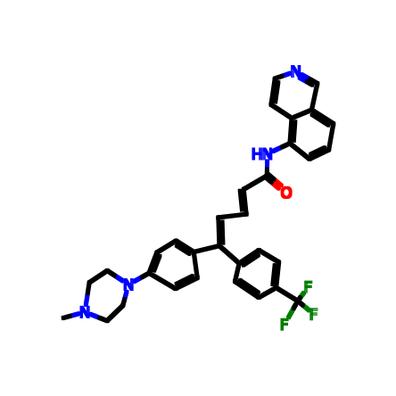 CN1CCN(c2ccc(/C(=C/C=C/C(=O)Nc3cccc4cnccc34)c3ccc(C(F)(F)F)cc3)cc2)CC1